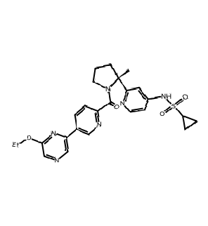 CCOc1cncc(-c2ccc(C(=O)N3CCC[C@]3(C)c3cc(NS(=O)(=O)C4CC4)ccn3)nc2)n1